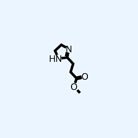 COC(=O)CCC1=NCCN1